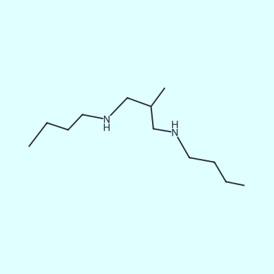 CCCCNCC(C)CNCCCC